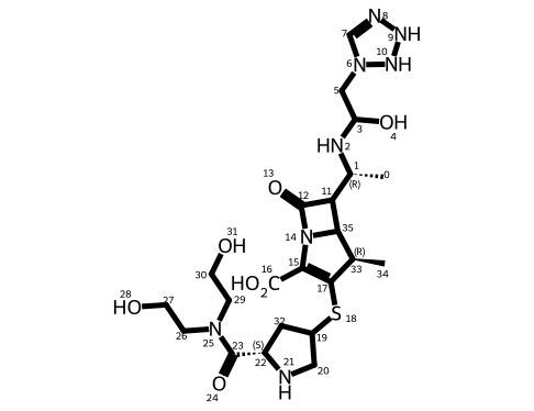 C[C@@H](NC(O)CN1C=NNN1)C1C(=O)N2C(C(=O)O)=C(SC3CN[C@H](C(=O)N(CCO)CCO)C3)[C@H](C)C12